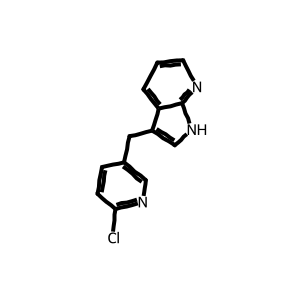 Clc1ccc(Cc2c[nH]c3ncccc23)cn1